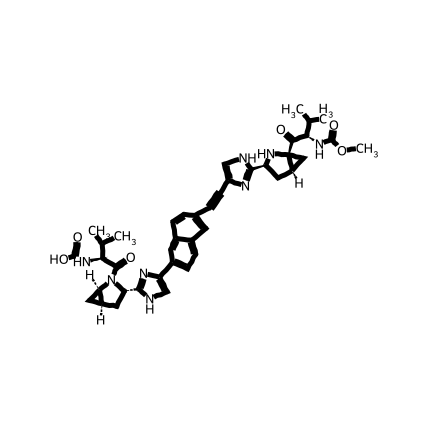 COC(=O)N[C@H](C(=O)[C@@]12C[C@H]1C[C@@H](c1nc(C#Cc3ccc4cc(-c5c[nH]c([C@@H]6C[C@H]7C[C@H]7N6C(=O)[C@@H](NC(=O)O)C(C)C)n5)ccc4c3)c[nH]1)N2)C(C)C